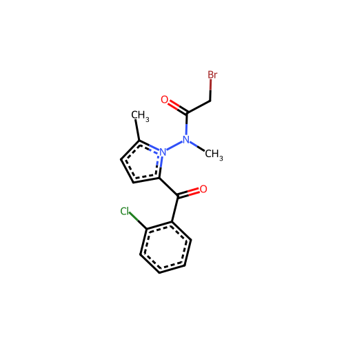 Cc1ccc(C(=O)c2ccccc2Cl)n1N(C)C(=O)CBr